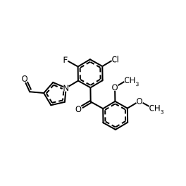 COc1cccc(C(=O)c2cc(Cl)cc(F)c2-n2ccc(C=O)c2)c1OC